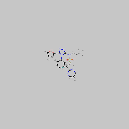 COc1cccc(OC)c1-n1c(-c2ccc(C)o2)nnc1N(CC[Si](C)(C)C)S(=O)(=O)[C@@H](C)C(C)(F)c1ncc(Br)cn1